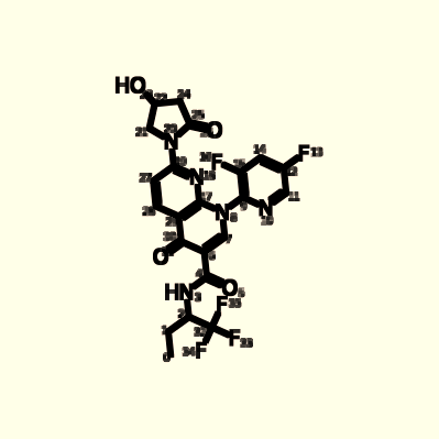 CCC(NC(=O)c1cn(-c2ncc(F)cc2F)c2nc(N3CC(O)CC3=O)ccc2c1=O)C(F)(F)F